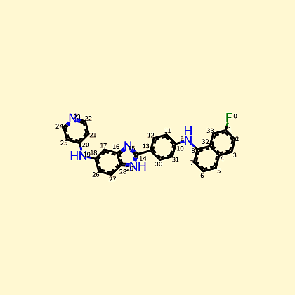 Fc1ccc2cccc(Nc3ccc(-c4nc5cc(Nc6ccncc6)ccc5[nH]4)cc3)c2c1